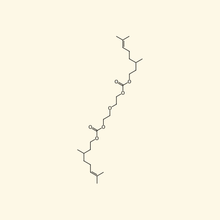 CC(C)=CCCC(C)CCOC(=O)OCCOCCOC(=O)OCCC(C)CCC=C(C)C